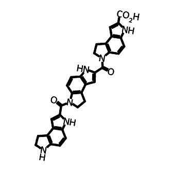 O=C(O)c1cc2c3c(ccc2[nH]1)N(C(=O)c1cc2c4c(ccc2[nH]1)N(C(=O)c1cc2c5c(ccc2[nH]1)NCC5)CC4)CC3